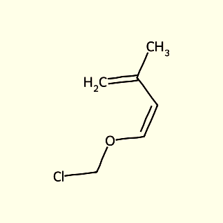 C=C(C)/C=C\OCCl